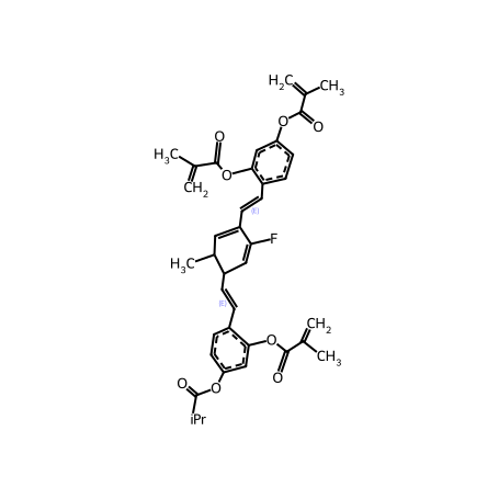 C=C(C)C(=O)Oc1ccc(/C=C/C2=CC(C)C(/C=C/c3ccc(OC(=O)C(C)C)cc3OC(=O)C(=C)C)C=C2F)c(OC(=O)C(=C)C)c1